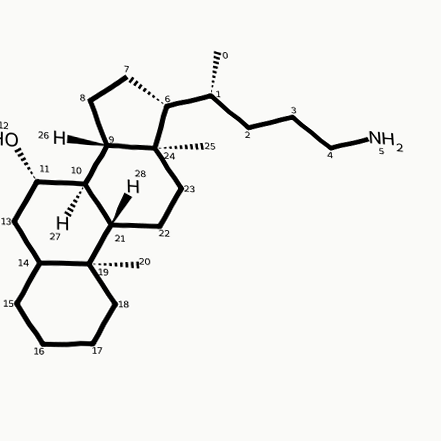 C[C@H](CCCN)[C@H]1CC[C@H]2[C@@H]3[C@@H](O)CC4CCCC[C@]4(C)[C@H]3CC[C@]12C